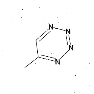 Cc1cnnnn1